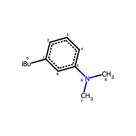 CCC(C)c1cccc(N(C)C)c1